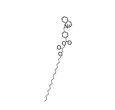 CCCCCCCCCCCCCCCCCCOCC(COC(=O)c1ccc(C[n+]2cccc3ccccc32)cc1)OC